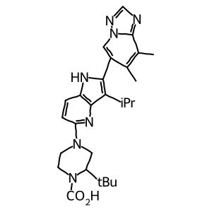 Cc1c(-c2[nH]c3ccc(N4CCN(C(=O)O)C(C(C)(C)C)C4)nc3c2C(C)C)cn2ncnc2c1C